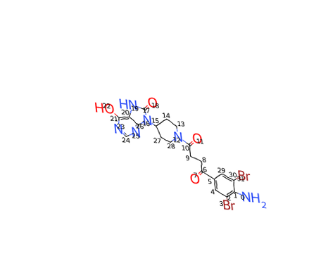 Nc1c(Br)cc(C(=O)CCC(=O)N2CCC(n3c(=O)[nH]c4c(O)ncnc43)CC2)cc1Br